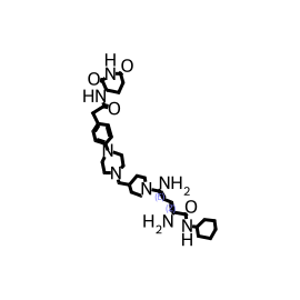 N/C(=C\C=C(/N)N1CCC(CN2CCN(c3ccc(CC(=O)NC4CCC(=O)NC4=O)cc3)CC2)CC1)C(=O)NC1CCCCC1